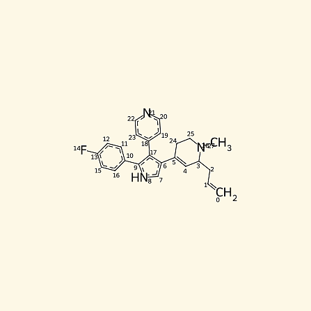 C=CCC1C=C(c2c[nH]c(-c3ccc(F)cc3)c2-c2ccncc2)CCN1C